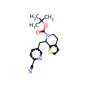 CC(C)(C)OC(=O)N1CCc2ccsc2C1Cc1ccc(C#N)nc1